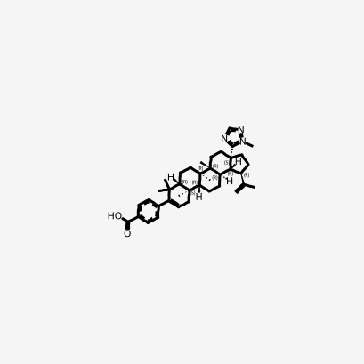 C=C(C)[C@@H]1CC[C@]2(c3ncnn3C)CC[C@]3(C)[C@H](CC[C@@H]4[C@@]5(C)CC=C(c6ccc(C(=O)O)cc6)C(C)(C)[C@@H]5CC[C@]43C)[C@@H]12